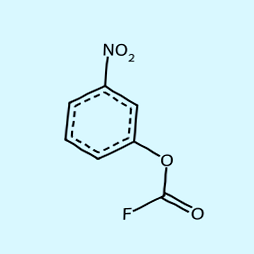 O=C(F)Oc1cccc([N+](=O)[O-])c1